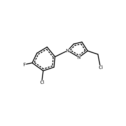 Fc1ccc(-n2ccc(CCl)n2)cc1Cl